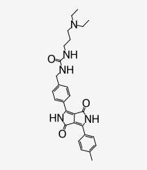 CCN(CC)CCCNC(=O)NCc1ccc(C2=C3C(=O)NC(c4ccc(C)cc4)=C3C(=O)N2)cc1